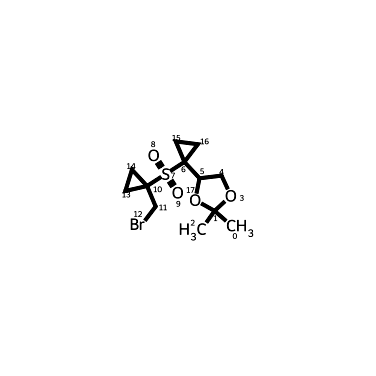 CC1(C)OCC(C2(S(=O)(=O)C3(CBr)CC3)CC2)O1